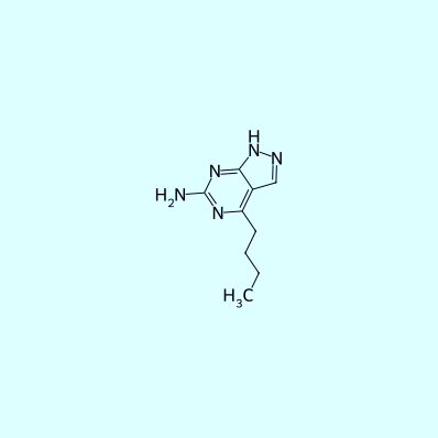 CCCCc1nc(N)nc2[nH]ncc12